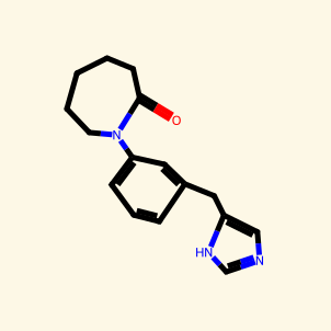 O=C1CCCCCN1c1cccc(Cc2cnc[nH]2)c1